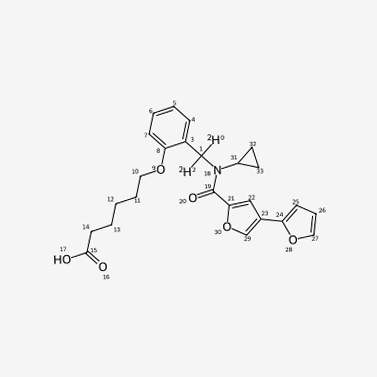 [2H]C([2H])(c1ccccc1OCCCCCC(=O)O)N(C(=O)c1cc(-c2ccco2)co1)C1CC1